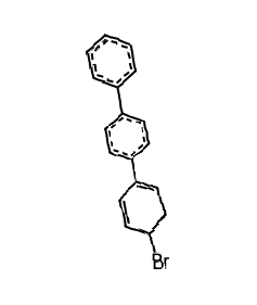 BrC1C=CC(c2ccc(-c3ccccc3)cc2)=CC1